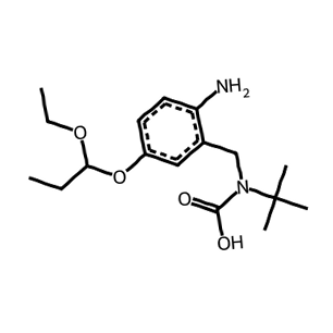 CCOC(CC)Oc1ccc(N)c(CN(C(=O)O)C(C)(C)C)c1